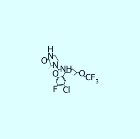 C[C@@H]1C(=O)NCCN1C(=O)N[C@H](c1ccc(F)c(Cl)c1)[C@H]1C[C@H](OCC(F)(F)F)C1